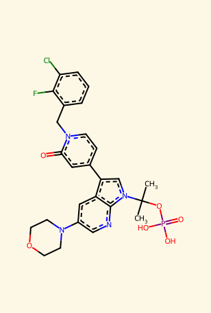 CC(C)(OP(=O)(O)O)n1cc(-c2ccn(Cc3cccc(Cl)c3F)c(=O)c2)c2cc(N3CCOCC3)cnc21